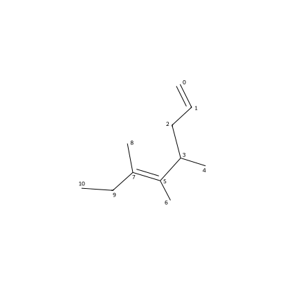 C=CCC(C)/C(C)=C(\C)CC